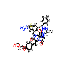 N#CCN(C(=O)NCc1ccccc1)N1CC(=O)N2[C@@H](Cc3ccc(OCCO)cc3)C(=O)N(Cc3cccc4sc(N)cc34)C[C@@H]21